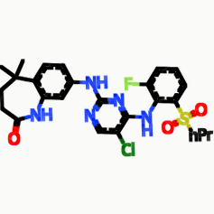 CCCS(=O)(=O)c1cccc(F)c1Nc1nc(Nc2ccc3c(c2)NC(=O)CCC3(C)C)ncc1Cl